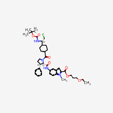 CCOCCCOC(=O)c1cc2cc(NC(=O)[C@@H]3[C@H](c4ccccc4)CCN3C(=O)C3CCC([C@@H](CF)NC(=O)OC(C)(C)C)CC3)ccc2n1C